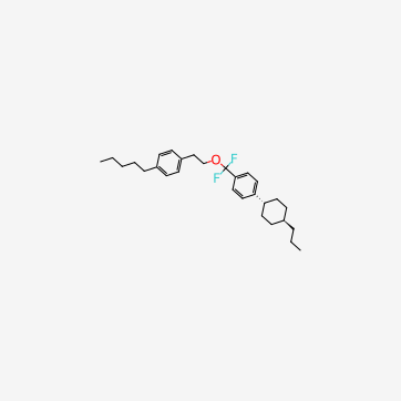 CCCCCc1ccc(CCOC(F)(F)c2ccc([C@H]3CC[C@H](CCC)CC3)cc2)cc1